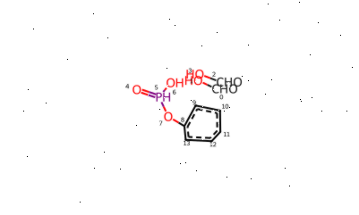 O=CO.O=CO.O=[PH](O)Oc1ccccc1